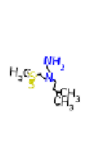 CC(C)CCN(CCN)CCS(C)=S